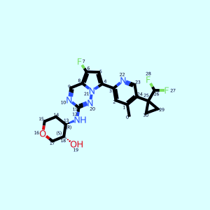 Cc1cc(-c2cc(F)c3cnc(N[C@@H]4CCOC[C@H]4O)nn23)ncc1C1(C(F)F)CC1